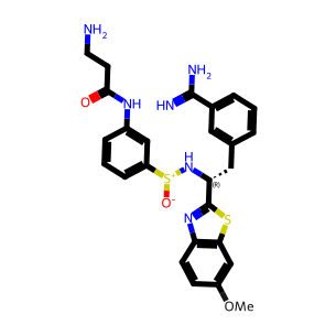 COc1ccc2nc([C@@H](Cc3cccc(C(=N)N)c3)N[S+]([O-])c3cccc(NC(=O)CCN)c3)sc2c1